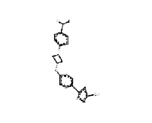 Oc1cc(-c2cnc(O[C@H]3C[C@@H](c4ccc(C(F)F)cc4)C3)cn2)on1